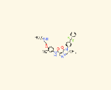 C[C@H]1Cn2ncc(C(=O)Nc3ccc(OCCNC(=O)O)c(C#N)c3)c2C(=O)N1c1ccc(C(F)(F)c2ccccc2)cc1